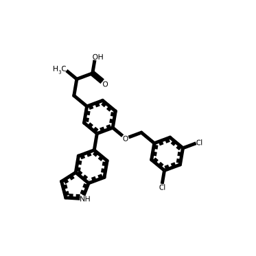 CC(Cc1ccc(OCc2cc(Cl)cc(Cl)c2)c(-c2ccc3[nH]ccc3c2)c1)C(=O)O